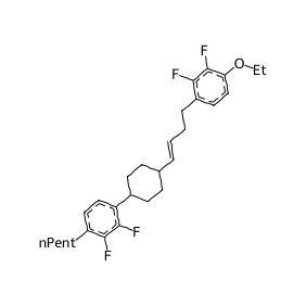 CCCCCc1ccc(C2CCC(/C=C/CCc3ccc(OCC)c(F)c3F)CC2)c(F)c1F